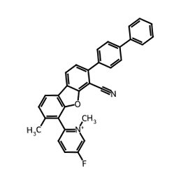 Cc1ccc2c(oc3c(C#N)c(-c4ccc(-c5ccccc5)cc4)ccc32)c1-c1ccc(F)c[n+]1C